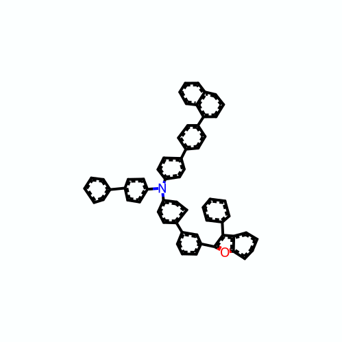 c1ccc(-c2ccc(N(c3ccc(-c4ccc(-c5cccc6ccccc56)cc4)cc3)c3ccc(-c4cccc(-c5oc6ccccc6c5-c5ccccc5)c4)cc3)cc2)cc1